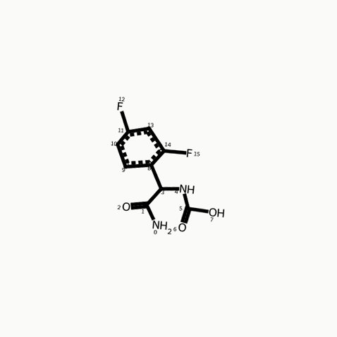 NC(=O)C(NC(=O)O)c1ccc(F)cc1F